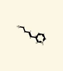 [S]CCC=Cc1cccnc1